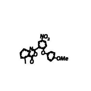 COc1ccc(Oc2ccc([N+](=O)[O-])cc2-c2nc3cccc(C)c3c(=O)o2)cc1